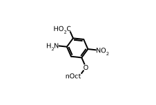 CCCCCCCCOc1cc(N)c(C(=O)O)cc1[N+](=O)[O-]